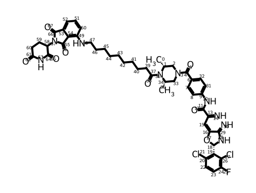 C[C@@H]1CN(C(=O)c2ccc(NC(=O)C(=N)/C=C3/O[C@@H](c4c(Cl)ccc(F)c4Cl)NC3=N)cc2)C[C@H](C)N1C(=O)CCCCCCCCCNc1cccc2c1C(=O)N(C1CCC(=O)NC1=O)C2=O